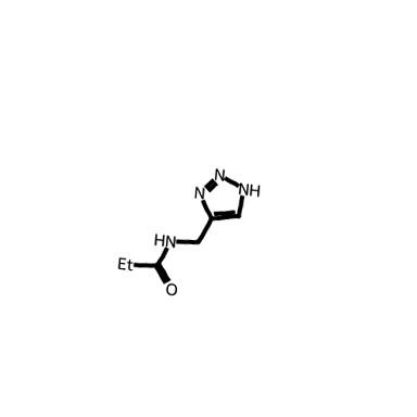 CCC(=O)NCc1c[nH]nn1